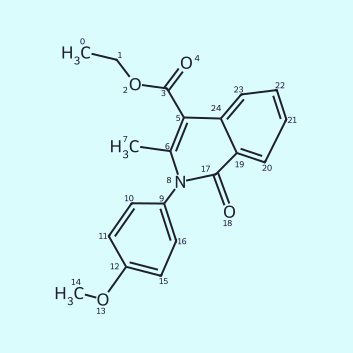 CCOC(=O)c1c(C)n(-c2ccc(OC)cc2)c(=O)c2ccccc12